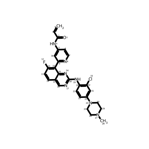 C=CC(=O)Nc1ccnc(-c2c(F)ccc3cnc(Nc4ccc(N5CCN(C)CC5)cc4Cl)nc23)c1